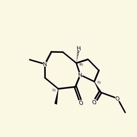 COC(=O)[C@@H]1CC[C@@H]2CCN(C)C[C@H](C)C(=O)N21